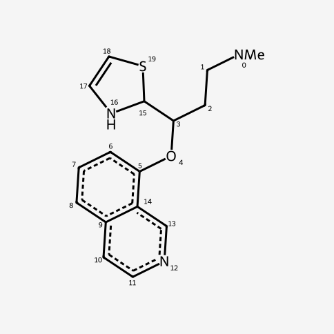 CNCCC(Oc1cccc2ccncc12)C1NC=CS1